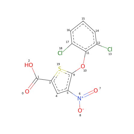 O=C(O)c1cc([N+](=O)[O-])c(Oc2c(Cl)cccc2Cl)s1